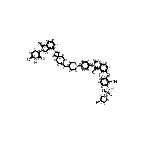 N#Cc1c(NS(=O)(=O)N2CC[C@@H](F)C2)ccc(F)c1Oc1ccc2ncn(-c3ccc(N4CCC(CN5CCC6(CC5)CN(c5cccc7c5CN(C5CCC(=O)NC5=O)C7=O)C6)CC4)nc3)c(=O)c2c1